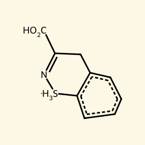 O=C(O)C1=N[SH3]c2ccccc2C1